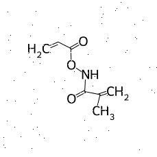 C=CC(=O)ONC(=O)C(=C)C